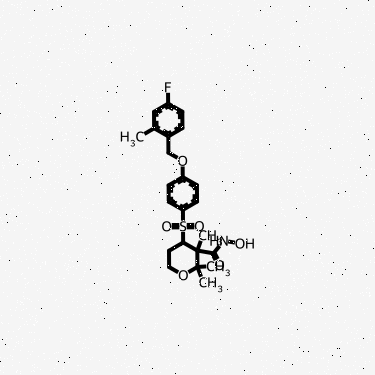 Cc1cc(F)ccc1COc1ccc(S(=O)(=O)C2CCOC(C)(C)C2(C)C(=O)NO)cc1